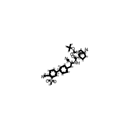 CC(C)(C)OC(=O)N1C[C@@H]2CC[C@@]1(C(=O)N[C@H](C#N)Cc1ccc(-c3ccc(C#N)c(S(C)(=O)=O)c3)cc1)C2